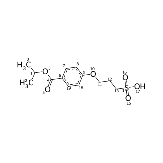 CC(C)OC(=O)c1ccc(OCCCS(=O)(=O)O)cc1